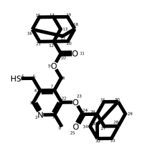 Cc1ncc(CS)c(COC(=O)C23CC4CC(CC(C4)C2)C3)c1OC(=O)C12CC3CC(CC(C3)C1)C2